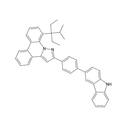 CCC(CC)(c1cccc2c3ccccc3c3cc(-c4ccc(-c5ccc6[nH]c7ccccc7c6c5)cc4)nn3c12)C(C)C